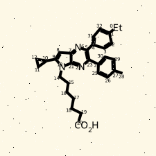 CCc1ccc(-c2nc3cc(C4CC4)n(CCCCCCC(=O)O)c3nc2-c2ccc(C)cc2)cc1